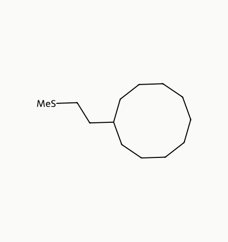 CSCCC1CCCCCCCCC1